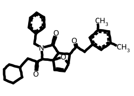 Cc1cc(C)cc(CC(=O)C2C3C=CC4(O3)C2C(=O)N(Cc2ccccc2)C4C(=O)CC2CCCCC2)c1